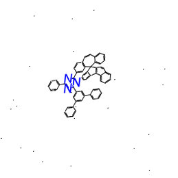 C1=Cc2ccc(-c3nc(-c4ccccc4)nc(-c4cc(-c5ccccc5)cc(-c5ccccc5)c4)n3)cc2C2(c3ccccc31)c1ccccc1-c1c2ccc2ccccc12